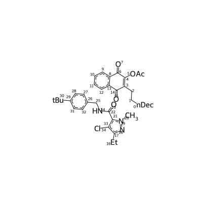 CCCCCCCCCCCCC1=C(OC(C)=O)C(=O)c2ccccc2C1=O.CCc1nn(C)c(C(=O)NCc2ccc(C(C)(C)C)cc2)c1Cl